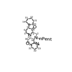 CCCCCN(Cc1nccc2c1oc1ccccc12)[C@H]1CCOc2cccnc21